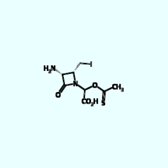 CC(=S)OC(C(=O)O)N1C(=O)[C@H](N)[C@@H]1CI